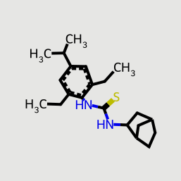 CCc1cc(C(C)C)cc(CC)c1NC(=S)NC1CC2CCC1C2